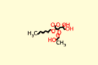 CCCCCCCOC1=C(OOCC(C)O)[C@@H]([C@@H](O)CO)OC1=O